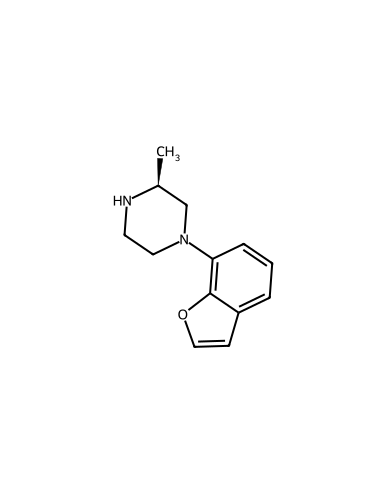 C[C@H]1CN(c2cccc3ccoc23)CCN1